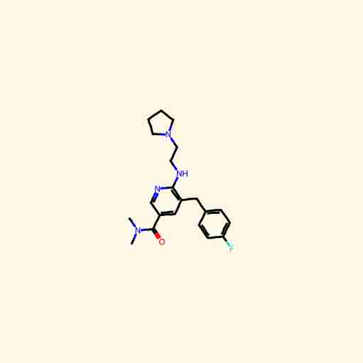 CN(C)C(=O)c1cnc(NCCN2CCCC2)c(Cc2ccc(F)cc2)c1